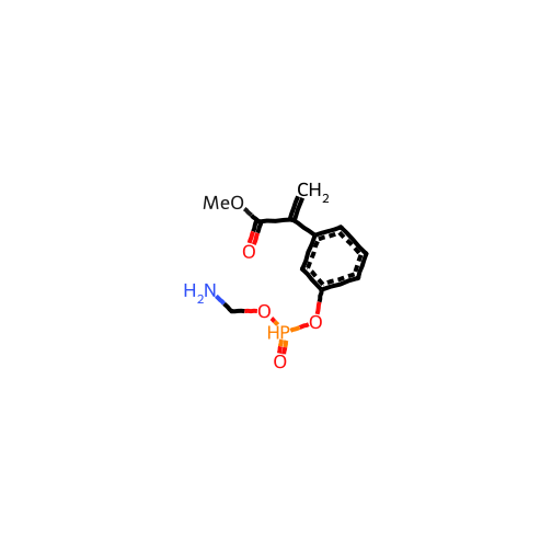 C=C(C(=O)OC)c1cccc(O[PH](=O)OCN)c1